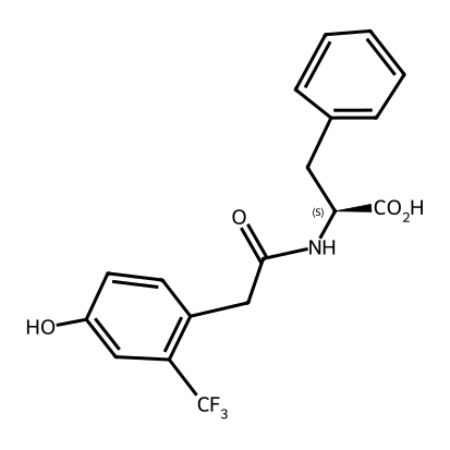 O=C(Cc1ccc(O)cc1C(F)(F)F)N[C@@H](Cc1ccccc1)C(=O)O